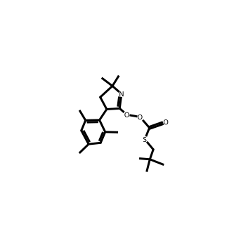 Cc1cc(C)c(C2CC(C)(C)N=C2OOC(=O)SCC(C)(C)C)c(C)c1